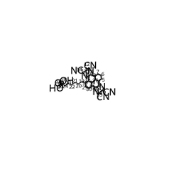 N#Cc1nc2c3cccc4c5nc(C#N)c(C#N)nc5c5c(CCCCCCP(=O)(O)O)ccc(c2nc1C#N)c5c34